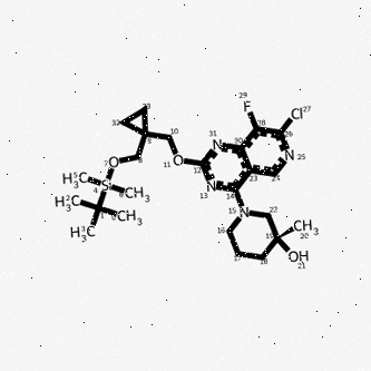 CC(C)(C)[Si](C)(C)OCC1(COc2nc(N3CCC[C@@](C)(O)C3)c3cnc(Cl)c(F)c3n2)CC1